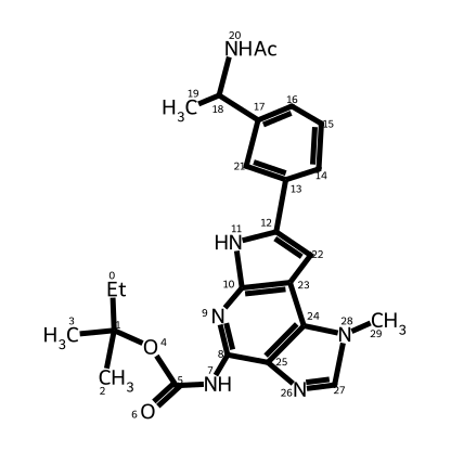 CCC(C)(C)OC(=O)Nc1nc2[nH]c(-c3cccc(C(C)NC(C)=O)c3)cc2c2c1ncn2C